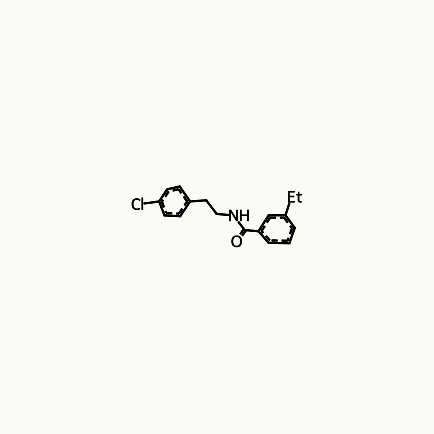 CCc1cccc(C(=O)NCCc2ccc(Cl)cc2)c1